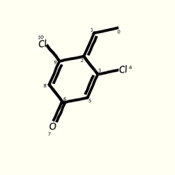 CC=C1C(Cl)=CC(=O)C=C1Cl